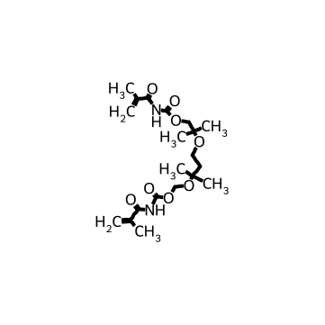 C=C(C)C(=O)NC(=O)OCOC(C)(C)CCOC(C)(C)COC(=O)NC(=O)C(=C)C